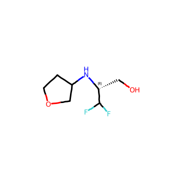 OC[C@@H](NC1CCOC1)C(F)F